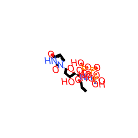 C=CCOC(N)(OP(=O)(O)OP(=O)(O)OP(=O)(O)O)[C@H]1O[C@@H](n2ccc(=O)[nH]c2=O)C[C@@H]1O